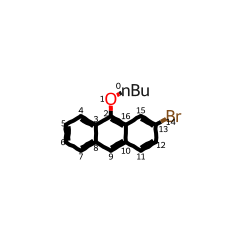 CCCCOc1c2ccccc2cc2ccc(Br)cc12